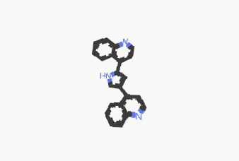 c1ccc2c(-c3c[nH]c(-c4ccnc5ccccc45)c3)ccnc2c1